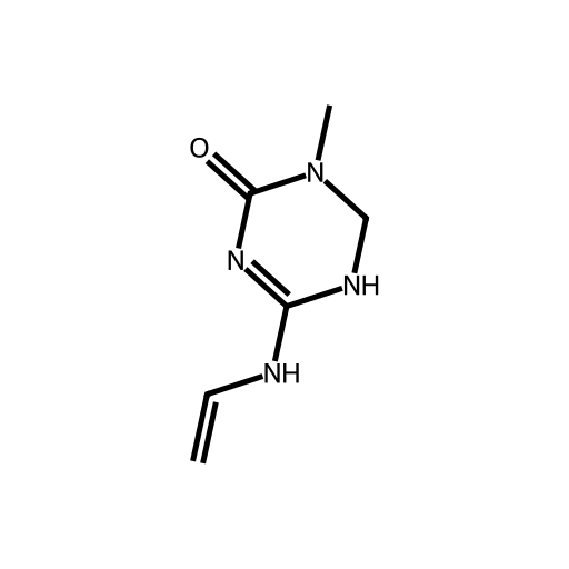 C=CNC1=NC(=O)N(C)CN1